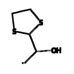 [CH2]C(O)C1SCCS1